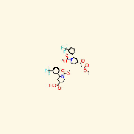 CCOC(=O)CC(=O)[C@@H]1CCN(C(=O)OC)[C@H](c2cccc(C(F)(F)F)c2)C1.COC(=O)N1CCC(C(=O)O)CC1c1cccc(C(F)(F)F)c1